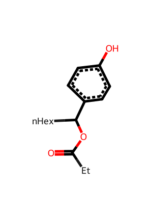 CCCCCCC(OC(=O)CC)c1ccc(O)cc1